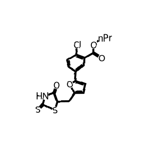 CCCOC(=O)c1cc(-c2ccc(CC3SC(=S)NC3=O)o2)ccc1Cl